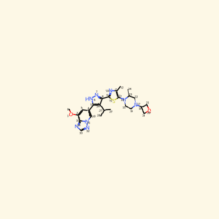 COc1cc(-c2[nH]nc(-c3nc(C)c(N4CCN(C5COC5)CC4C)s3)c2C(C)C)cn2ncnc12